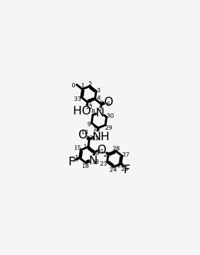 Cc1ccc(C(=O)N2CCC(NC(=O)c3cc(F)cnc3Oc3ccc(F)cc3)CC2)c(O)c1